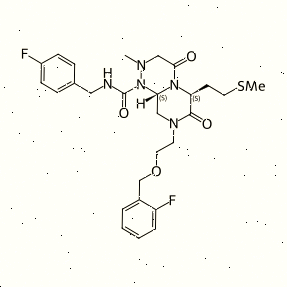 CSCC[C@H]1C(=O)N(CCOCc2ccccc2F)C[C@H]2N1C(=O)CN(C)N2C(=O)NCc1ccc(F)cc1